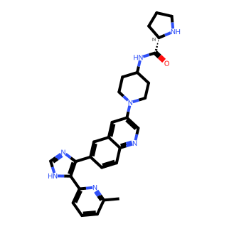 Cc1cccc(-c2[nH]cnc2-c2ccc3ncc(N4CCC(NC(=O)[C@@H]5CCCN5)CC4)cc3c2)n1